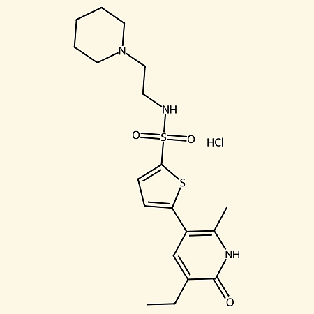 CCc1cc(-c2ccc(S(=O)(=O)NCCN3CCCCC3)s2)c(C)[nH]c1=O.Cl